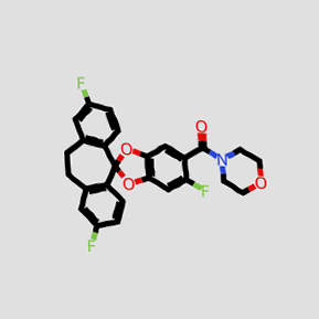 O=C(c1cc2c(cc1F)OC1(O2)c2ccc(F)cc2CCc2cc(F)ccc21)N1CCOCC1